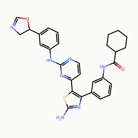 Nc1nc(-c2cccc(NC(=O)C3CCCCC3)c2)c(-c2ccnc(Nc3cccc(C4CN=CO4)c3)n2)s1